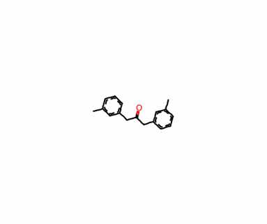 Cc1cccc(CC(=O)Cc2cccc(C)c2)c1